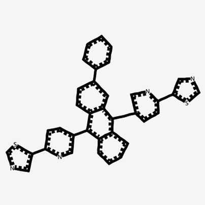 c1ccc(-c2ccc3c(-c4ccc(-c5cncs5)nc4)c4ccccc4c(-c4ccc(-c5cncs5)nc4)c3c2)cc1